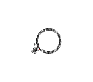 O=C1OCC(N2CCC3(CCCCCCCCCCCCCCCCCCCCCCCCCCCCCCCCCCCCCCCCCCCCCCCCNCC3)CC2)=C1Cl